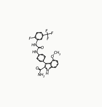 COc1cccc2[nH]c(C(N)=O)c(-c3ccc(NC(=O)Nc4cc(C(F)(F)F)ccc4F)cc3)c12